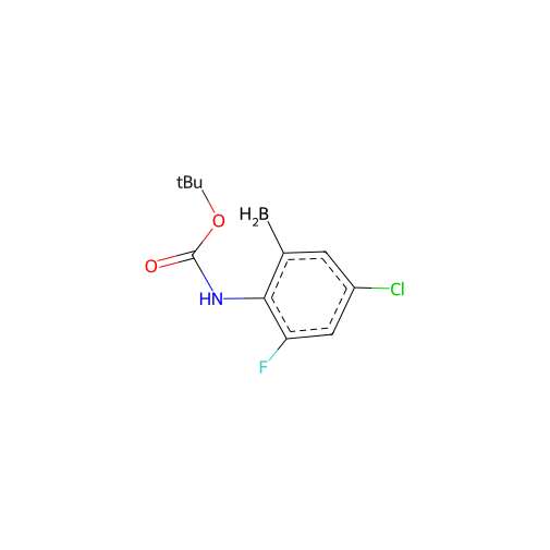 Bc1cc(Cl)cc(F)c1NC(=O)OC(C)(C)C